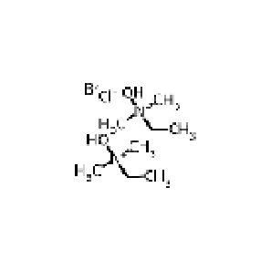 CC[N+](C)(C)O.CC[N+](C)(C)O.[Br-].[Cl-]